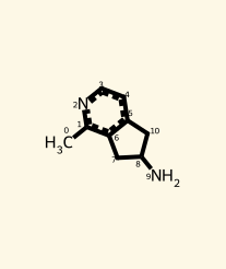 Cc1nccc2c1CC(N)C2